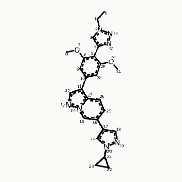 CCn1cc(-c2c(OC)cc(-c3cnn4cc(-c5cnn(C6CC6)c5)ccc34)cc2OC)nn1